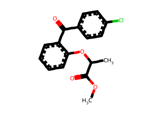 COC(=O)C(C)Oc1ccccc1C(=O)c1ccc(Cl)cc1